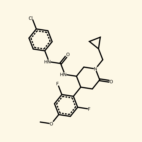 COc1cc(F)c(C2CC(=O)N(CC3CC3)CC2NC(=O)Nc2ccc(Cl)cc2)c(F)c1